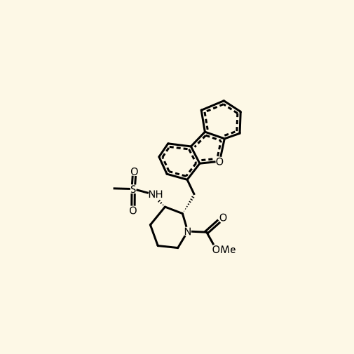 COC(=O)N1CCC[C@H](NS(C)(=O)=O)[C@@H]1Cc1cccc2c1oc1ccccc12